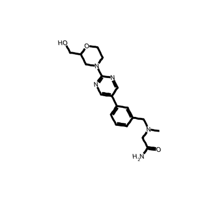 CN(CC(N)=O)Cc1cccc(-c2cnc(N3CCOC(CO)C3)nc2)c1